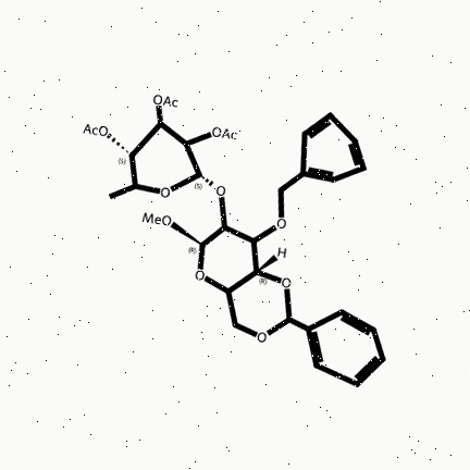 CO[C@@H]1OC2COC(c3ccccc3)O[C@H]2C(OCc2ccccc2)C1O[C@@H]1OC(C)[C@H](OC(C)=O)C(OC(C)=O)C1OC(C)=O